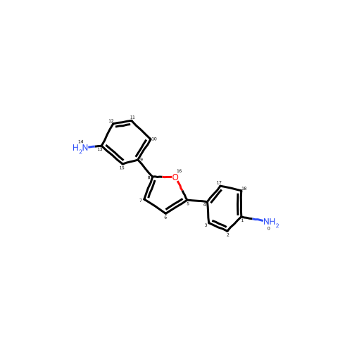 Nc1ccc(-c2ccc(-c3cccc(N)c3)o2)cc1